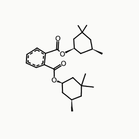 C[C@H]1C[C@@H](OC(=O)c2ccccc2C(=O)O[C@@H]2C[C@H](C)CC(C)(C)C2)CC(C)(C)C1